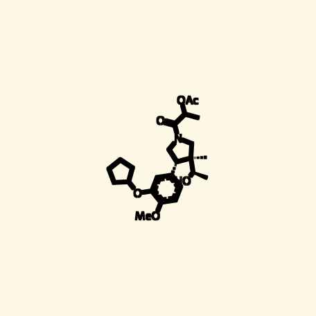 COc1ccc([C@@H]2CN(C(=O)C(C)OC(C)=O)C[C@@]2(C)[C@@H](C)O)cc1OC1CCCC1